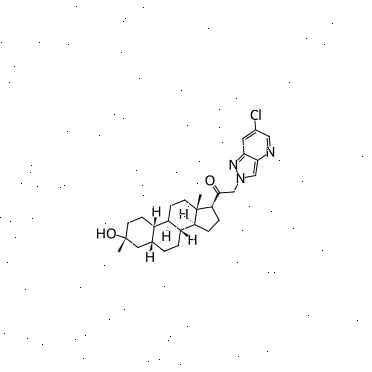 C[C@@]1(O)CC[C@H]2[C@H](CC[C@@H]3[C@@H]2CC[C@]2(C)[C@@H](C(=O)Cn4cc5ncc(Cl)cc5n4)CC[C@@H]32)C1